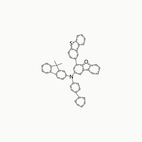 CC1(C)c2ccccc2-c2ccc(N(c3ccc(-c4ccccc4)cc3)c3cc(-c4ccc5sc6ccccc6c5c4)c4oc5ccccc5c4c3)cc21